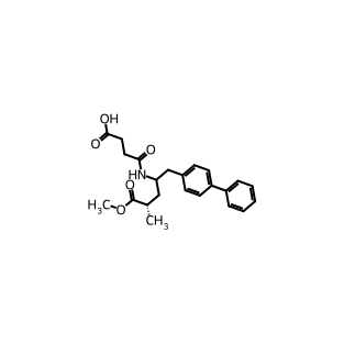 COC(=O)[C@@H](C)CC(Cc1ccc(-c2ccccc2)cc1)NC(=O)CCC(=O)O